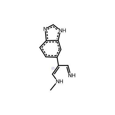 CN/C=C(\C=N)c1ccc2nc[nH]c2c1